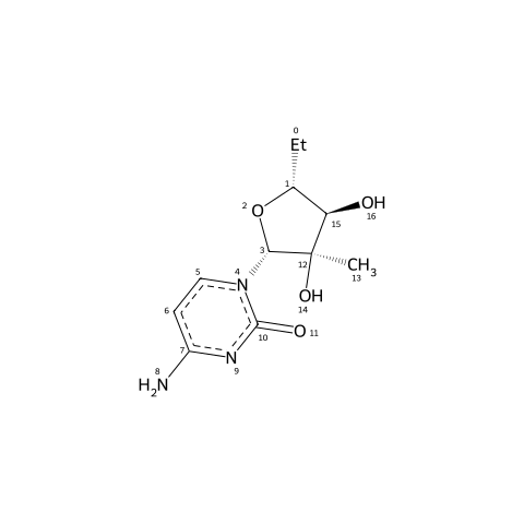 [CH2]C[C@H]1O[C@@H](n2ccc(N)nc2=O)[C@](C)(O)[C@@H]1O